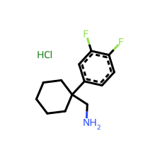 Cl.NCC1(c2ccc(F)c(F)c2)CCCCC1